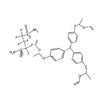 C=COC(C)Oc1ccc([S+](c2ccc(OC(C)OC=C)cc2)c2ccc(OC(C)OC=C)cc2)cc1.NS(=O)(=O)C(F)(F)C(F)(F)C(F)(F)S(N)(=O)=O